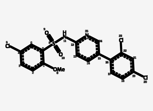 COc1ccc(Cl)cc1S(=O)(=O)Nc1ccc(-c2ccc(Cl)cc2Cl)cn1